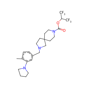 Cc1ccc(CN2CCC3(CCN(C(=O)OC(C(F)(F)F)C(F)(F)F)CC3)C2)cc1N1CCCC1